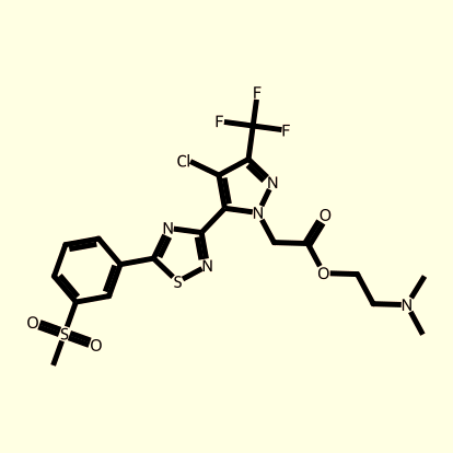 CN(C)CCOC(=O)Cn1nc(C(F)(F)F)c(Cl)c1-c1nsc(-c2cccc(S(C)(=O)=O)c2)n1